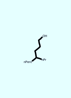 CCCCCC(CCC)CCCO